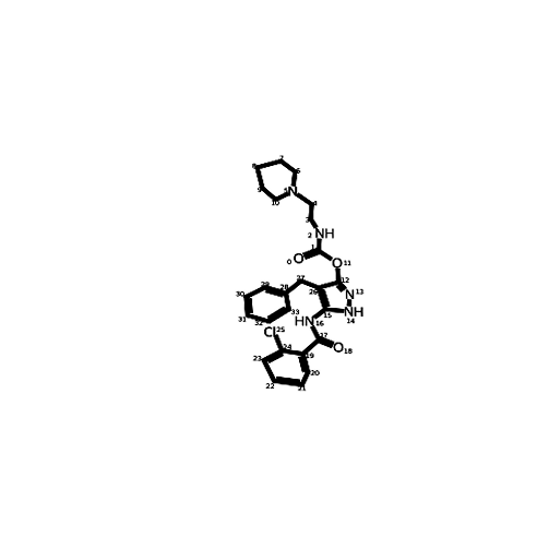 O=C(NCCN1CCCCC1)Oc1n[nH]c(NC(=O)c2ccccc2Cl)c1Cc1ccccc1